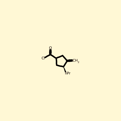 C=C1CC(C(=O)Cl)C[C@@H]1CCC